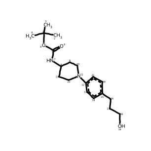 CC(C)(C)OC(=O)NC1CCN(c2ccc(CCCO)cc2)CC1